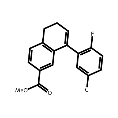 COC(=O)c1ccc2c(c1)C(c1cc(Cl)ccc1F)=CCC2